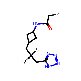 CCC(C)(Cc1nnn[nH]1)CC1CC(NC(=O)CC(C)C)C1